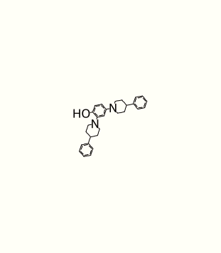 Oc1ccc(N2CCC(c3ccccc3)CC2)cc1N1CCC(c2ccccc2)CC1